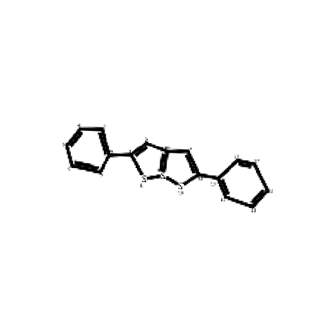 C1=C(c2ccccc2)SS2=C1C=C(c1ccccc1)S2